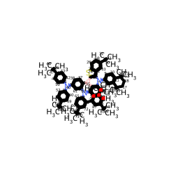 Cc1cc2c3c(c1)N(c1ccc4c(c1)C(C)(C)CCC4(C)C)c1c(sc4ccc(C(C)(C)C)cc14)B3c1ccc(N(c3ccc(C(C)(C)C)cc3)c3ccc(C(C)(C)C)cc3)cc1N2c1ccc(C(C)(C)C)cc1-c1cc(C(C)(C)C)cc(C(C)(C)C)c1